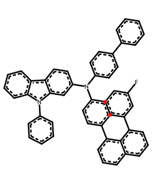 Fc1cccc(-c2cccc3cccc(-c4ccc(N(c5ccc(-c6ccccc6)cc5)c5ccc6c7ccccc7n(-c7ccccc7)c6c5)cc4)c23)c1